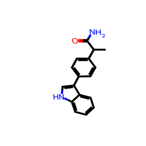 CC(C(N)=O)c1ccc(-c2c[nH]c3ccccc23)cc1